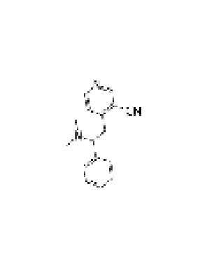 CN(C)C(Cc1ccncc1C#N)c1ccccc1